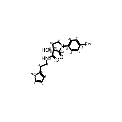 O=C(NCCc1cccs1)[C@]1(O)CCN(c2ccc(F)cc2)C1=O